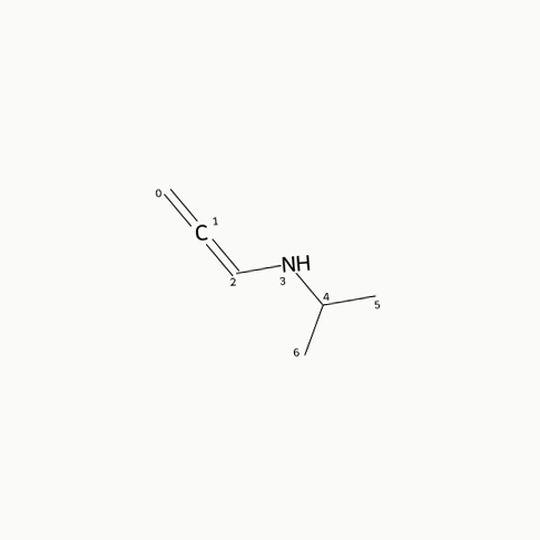 C=C=CNC(C)C